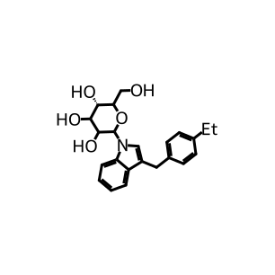 CCc1ccc(Cc2cn(C3OC(CO)[C@@H](O)C(O)C3O)c3ccccc23)cc1